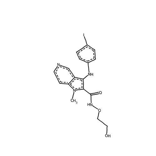 Cn1c(C(=O)NOCCO)c(Nc2ccc(I)cc2)c2cnccc21